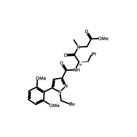 CCC(C)Cn1nc(C(=O)N[C@@H](CC(C)C)C(=O)N(C)CC(=O)OC)cc1-c1c(OC)cccc1OC